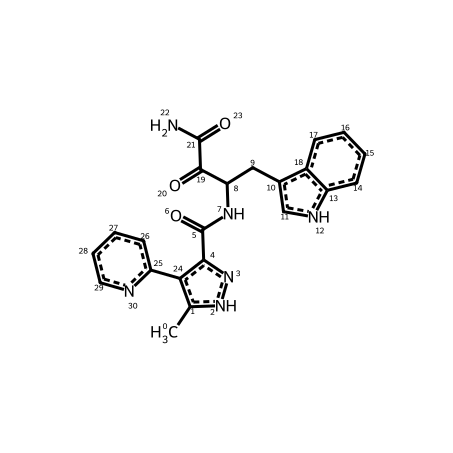 Cc1[nH]nc(C(=O)NC(Cc2c[nH]c3ccccc23)C(=O)C(N)=O)c1-c1ccccn1